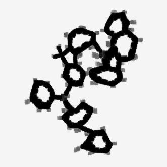 CC1(C)c2cc(N(c3ccccc3)c3ccc(-c4ccccc4)cc3)ccc2-c2c(-n3c4ccccc4c4ccc5ccccc5c43)cccc21